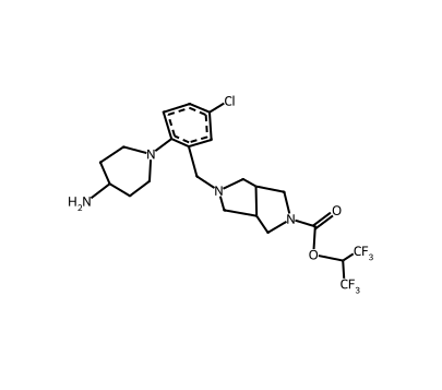 NC1CCN(c2ccc(Cl)cc2CN2CC3CN(C(=O)OC(C(F)(F)F)C(F)(F)F)CC3C2)CC1